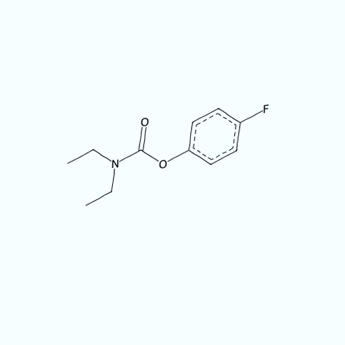 CCN(CC)C(=O)Oc1ccc(F)cc1